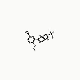 CCSc1ccc(C2CC2)nc1-c1ccn2nc(C(F)(F)F)cc2n1